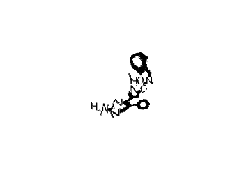 CN(Cc1ccccc1)C(=O)Oc1cc(-c2nc(N)ncc2-c2ccccc2)c[nH]1